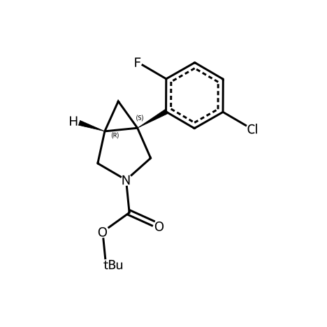 CC(C)(C)OC(=O)N1C[C@@H]2C[C@]2(c2cc(Cl)ccc2F)C1